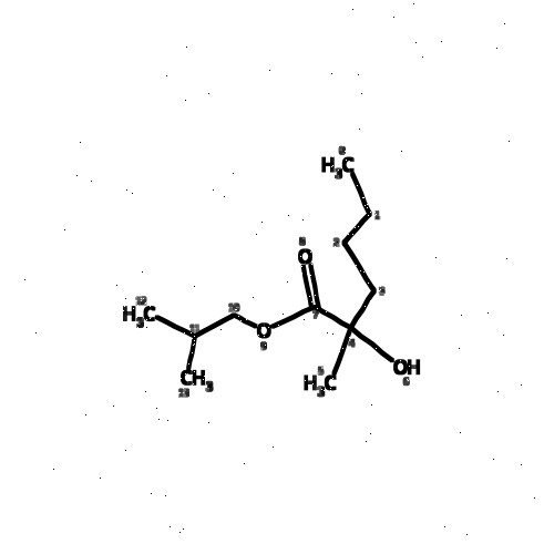 CCCCC(C)(O)C(=O)OCC(C)C